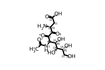 CC(=O)N[C@@H](C(=O)C(=O)[C@@H](N)CC(=O)O)[C@@H](O)[C@H](O)[C@H](O)CO